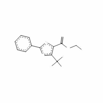 CCOC(=O)c1nc(-c2ccccc2)sc1C(F)(F)F